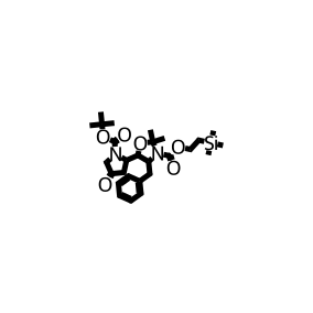 CC(C)(C)OC(=O)N1CC(=O)CC1C1OC(C)(C)N(C(=O)OCC[Si](C)(C)C)C1Cc1ccccc1